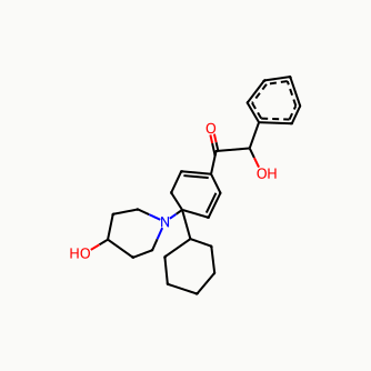 O=C(C1=CCC(C2CCCCC2)(N2CCC(O)CC2)C=C1)C(O)c1ccccc1